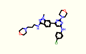 Cn1nc(NCCCN2CCOCC2)c2ccc(-c3cc(Nc4ccc(Cl)cc4)nc(N4CCOCC4)n3)cc21